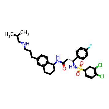 CC(C)CNCCCc1ccc2c(c1)CCCC2NC(=O)C[C@@H](NS(=O)(=O)C1C=CC(Cl)=C(Cl)C1)c1ccc(F)cc1